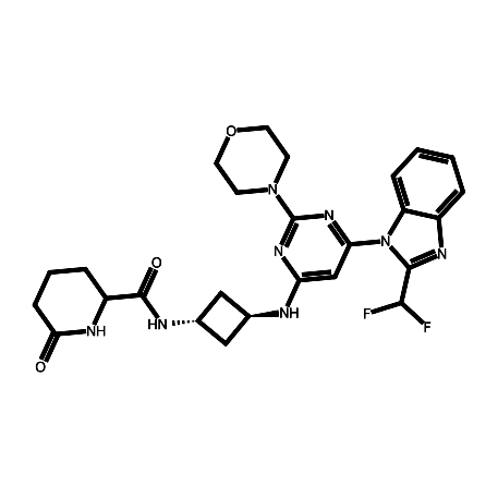 O=C1CCCC(C(=O)N[C@H]2C[C@H](Nc3cc(-n4c(C(F)F)nc5ccccc54)nc(N4CCOCC4)n3)C2)N1